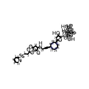 O=C(CCSSc1ccccn1)ON1C(=O)CC(NCC#CC2=C/C=C\C=C([C@H]3CC(O)[C@@H](COP(=O)(O)OP(=O)(O)OP(=O)(O)O)O3)/C=C\2)C1=O